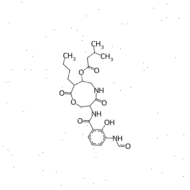 CCCCC1C(=O)OCC(NC(=O)c2cccc(NC=O)c2O)C(=O)NCC1OC(=O)CC(C)C